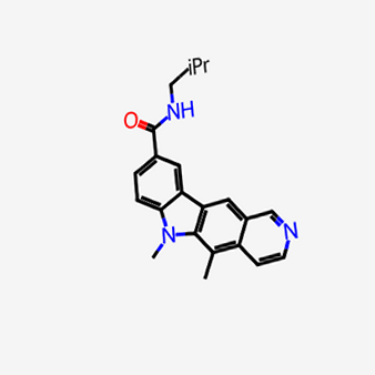 Cc1c2ccncc2cc2c3cc(C(=O)NCC(C)C)ccc3n(C)c12